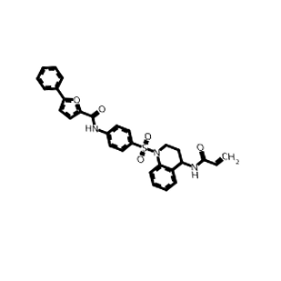 C=CC(=O)NC1CCN(S(=O)(=O)c2ccc(NC(=O)c3ccc(-c4ccccc4)o3)cc2)c2ccccc21